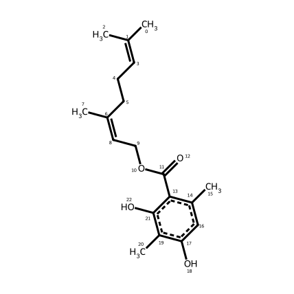 CC(C)=CCCC(C)=CCOC(=O)c1c(C)cc(O)c(C)c1O